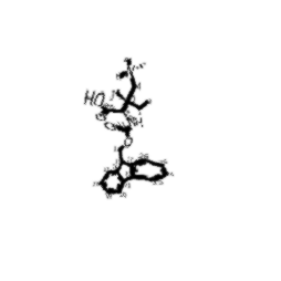 CC[C@@](C)(C[N+](C)(C)C)[C@H](NC(=O)OCC1c2ccccc2-c2ccccc21)C(=O)O